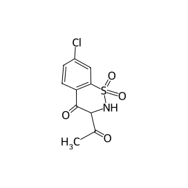 CC(=O)C1NS(=O)(=O)c2cc(Cl)ccc2C1=O